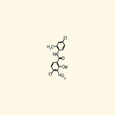 Cc1cc(Cl)ccc1NC(=O)c1ccc(Cl)c([N+](=O)[O-])c1O